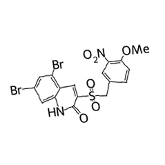 COc1ccc(CS(=O)(=O)c2cc3c(Br)cc(Br)cc3[nH]c2=O)cc1[N+](=O)[O-]